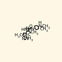 Cc1cc(-c2[nH]nc(C(=O)N[C@H]3CC[C@@H](NC(C)C)CC3)c2C(C)C)cn2ncnc12